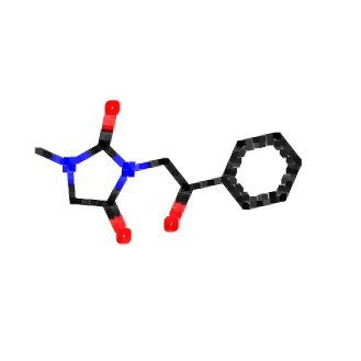 CN1CC(=O)N(CC(=O)c2ccccc2)C1=O